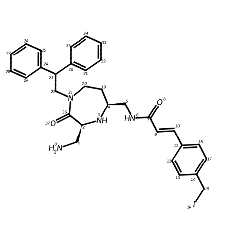 NC[C@@H]1N[C@H](CNC(=O)/C=C/c2ccc(CI)cc2)CCN(CC(c2ccccc2)c2ccccc2)C1=O